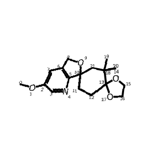 COc1cnc2c(c1)COC21CCC2(OCCO2)C(C)(C)C1